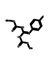 CC(C)(C)OC(=O)NC(=Nc1ccc(I)cc1)NC(=O)OC(C)(C)C